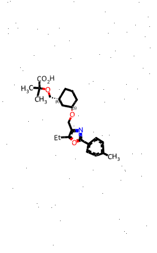 CCc1oc(-c2ccc(C)cc2)nc1CO[C@H]1CCC[C@@H](COC(C)(C)C(=O)O)C1